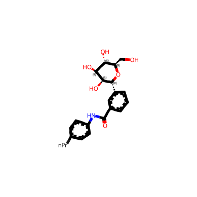 CCCc1ccc(NC(=O)c2cccc([C@H]3O[C@H](CO)[C@@H](O)[C@H](O)[C@@H]3O)c2)cc1